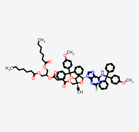 C#C[C@]1(COC(=O)CCC(=O)OC(COC(=O)CCCCCC)COC(=O)CCCCCC)O[C@@H](n2cnc3c(NC(c4ccccc4)(c4ccccc4)c4ccc(OC)cc4)nc(F)nc32)C[C@@H]1OC(c1ccccc1)(c1ccccc1)c1ccc(OC)cc1